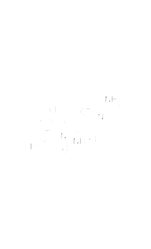 CCS(=O)(=O)c1ccc(Cl)cc1Cn1c(=O)[nH]c2c(Cl)c(CN3CC(N)C3)c(C(F)(F)F)cc2c1=O